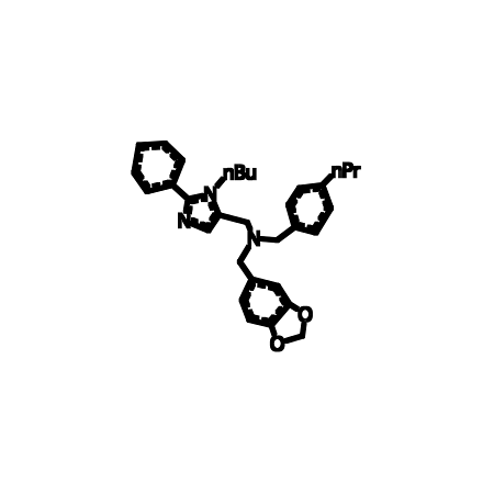 CCCCn1c(CN(Cc2ccc(CCC)cc2)Cc2ccc3c(c2)OCO3)cnc1-c1ccccc1